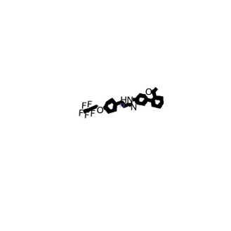 CC(=O)c1ccccc1-c1ccc2[nH]c(/C=C/c3ccc(OCC(F)(F)C(F)(F)F)cc3)nc2c1